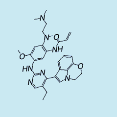 C=CC(=O)Nc1cc(Nc2ncc(CC)c(-c3cn4c5c(cccc35)OCC4)n2)c(OC)cc1N(C)CCN(C)C